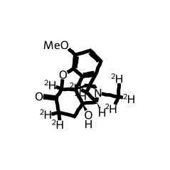 [2H]C1([2H])C[C@@]2(O)[C@@H]3N(C([2H])([2H])[2H])CC[C@@]24c2c(ccc(OC)c2OC4([2H])C1=O)C3([2H])[2H]